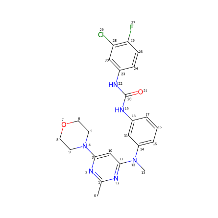 Cc1nc(N2CCOCC2)cc(N(C)c2cccc(NC(=O)Nc3ccc(F)c(Cl)c3)c2)n1